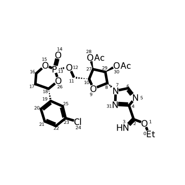 CCOC(=N)c1ncn([C@@H]2O[C@H](CO[P@@]3(=O)OCC[C@@H](c4cccc(Cl)c4)O3)[C@@H](OC(C)=O)[C@H]2OC(C)=O)n1